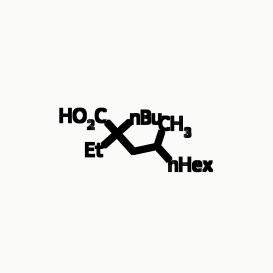 CCCCCCC(C)CC(CC)(CCCC)C(=O)O